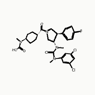 CN(C(=O)N(C)[C@@H]1CN(C(=O)[C@H]2CC[C@H](N(C)C(=O)O)CC2)C[C@H]1c1ccc(F)cc1)c1cc(Cl)cc(Cl)c1